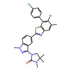 CCc1c(C)cc2nc(-c3ccc4c(c3)c(N3CC(C)(C)N(C)C3=O)nn4C)sc2c1-c1ccc(Cl)cc1